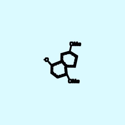 COc1ccc2c(OC)ccc([O])c2c1